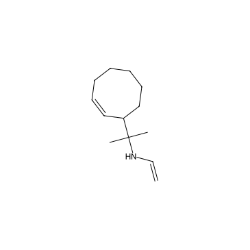 C=CNC(C)(C)C1/C=C\CCCCC1